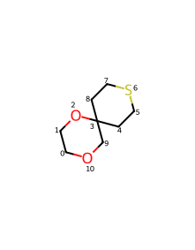 C1COC2(CCSCC2)CO1